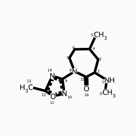 CNC1CC(C)CCN(c2noc(C)n2)C1=O